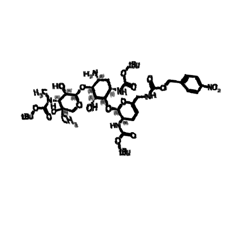 CN(C(=O)OC(C)(C)C)[C@@H]1[C@@H](O)[C@@H](O[C@@H]2[C@@H](O)[C@H](O[C@H]3OC(CNC(=O)OCc4ccc([N+](=O)[O-])cc4)=CC[C@H]3NC(=O)OC(C)(C)C)[C@@H](NC(=O)OC(C)(C)C)C[C@H]2N)OC[C@]1(C)O